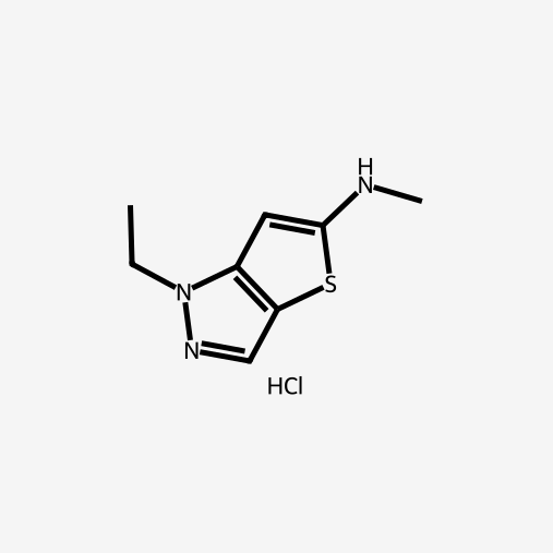 CCn1ncc2sc(NC)cc21.Cl